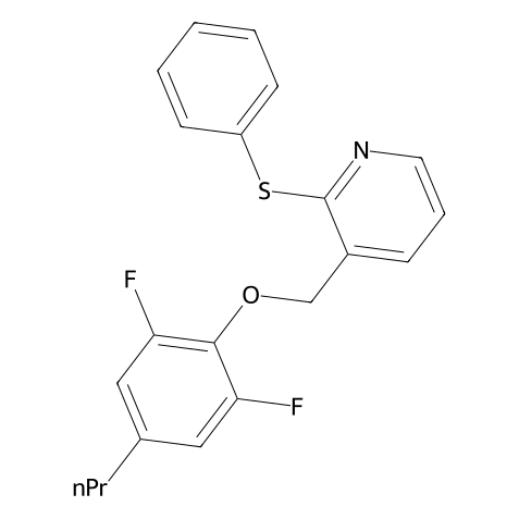 CCCc1cc(F)c(OCc2cccnc2Sc2ccccc2)c(F)c1